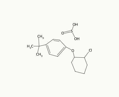 CC(C)(C)c1ccc(OC2CCCCC2Cl)cc1.O=S(O)O